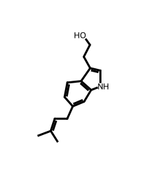 CC(C)=CCc1ccc2c(CCO)c[nH]c2c1